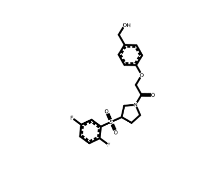 O=C(COc1ccc(CO)cc1)N1CCC(S(=O)(=O)c2cc(F)ccc2F)C1